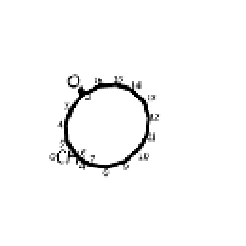 C.O=C1CCCCCCCCCCCCCC1